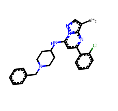 Bc1cnn2c(NC3CCN(Cc4ccccc4)CC3)cc(-c3ccccc3Cl)nc12